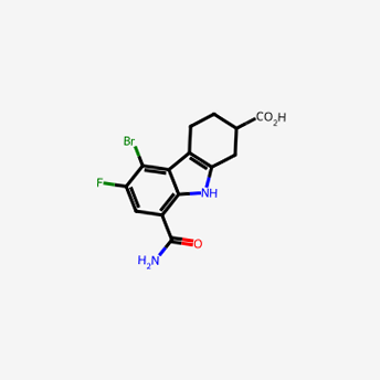 NC(=O)c1cc(F)c(Br)c2c3c([nH]c12)CC(C(=O)O)CC3